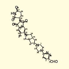 O=Cc1ccc(N2CCN(C3CC4CN(c5cc6c(cc5F)C(=O)N(C5CCC(=O)NC5=O)C6=O)CC4C3)CC2)nn1